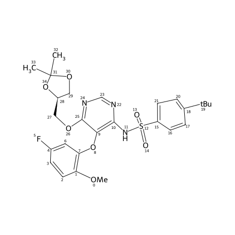 COc1ccc(F)cc1Oc1c(NS(=O)(=O)c2ccc(C(C)(C)C)cc2)ncnc1OC[C@@H]1COC(C)(C)O1